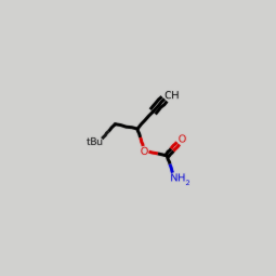 C#CC(CC(C)(C)C)OC(N)=O